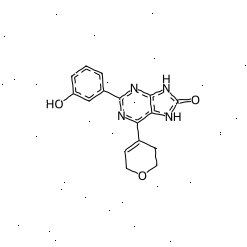 O=c1[nH]c2nc(-c3cccc(O)c3)nc(C3=CCOCC3)c2[nH]1